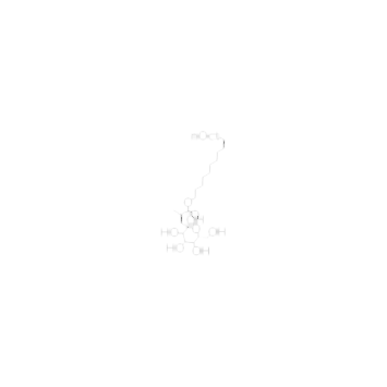 CCCCCCCC/C=C\CCCCCCCCOC(=O)C(C)=C[C@]1(O)O[C@H](CO)[C@@H](O)[C@H](O)[C@H]1O